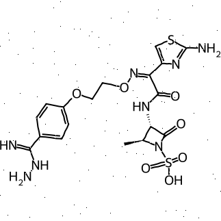 C[C@H]1[C@H](NC(=O)/C(=N\OCCOc2ccc(C(=N)NN)cc2)c2csc(N)n2)C(=O)N1S(=O)(=O)O